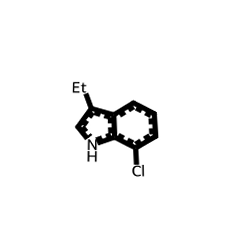 CCc1c[nH]c2c(Cl)cccc12